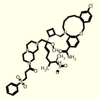 COC(/C=C/CC(C)[C@@H](C)[SH](=O)=O)(CN1CCN2CCN(C(=O)CCS(=O)(=O)c3ccccc3)CC2C1)[C@@H]1CC[C@H]1CN1CCCCc2cc(Cl)ccc2COc2ccc(C(N)=O)cc21